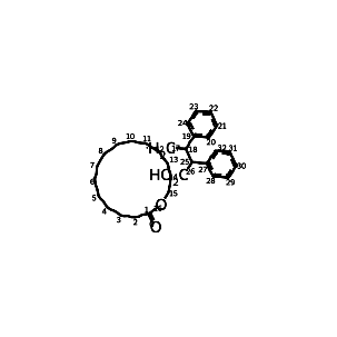 O=C1CCCCCCCCCCCCCCO1.[CH2]C(c1ccccc1)C(C(=O)O)c1ccccc1